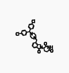 O=C1CCC(N2Cc3c(CN4CCN(C(c5ccc(Cl)cc5)c5ccc(Cl)cc5)CC4)cccc3C2=O)C(=O)N1